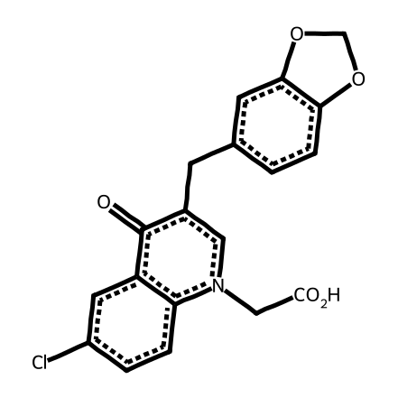 O=C(O)Cn1cc(Cc2ccc3c(c2)OCO3)c(=O)c2cc(Cl)ccc21